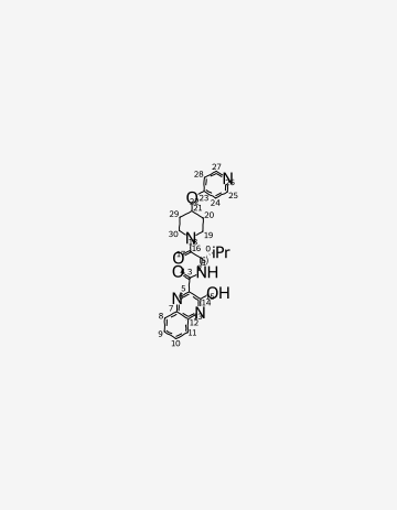 CC(C)[C@H](NC(=O)c1nc2ccccc2nc1O)C(=O)N1CCC(Oc2ccncc2)CC1